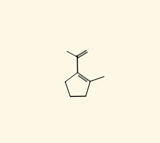 CC1=C(C(=O)C(F)(F)F)CCC1